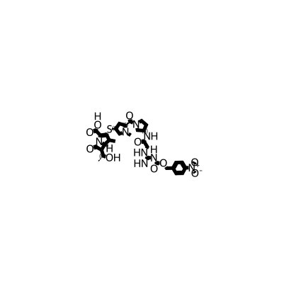 CC1C(S[C@H]2C[C@@H](C(=O)N3CC[C@H](NC(=O)CNC(=N)NC(=O)OCc4ccc([N+](=O)[O-])cc4)C3)N(C)C2)=C(C(=O)O)N2C(=O)C([C@@H](C)O)[C@H]12